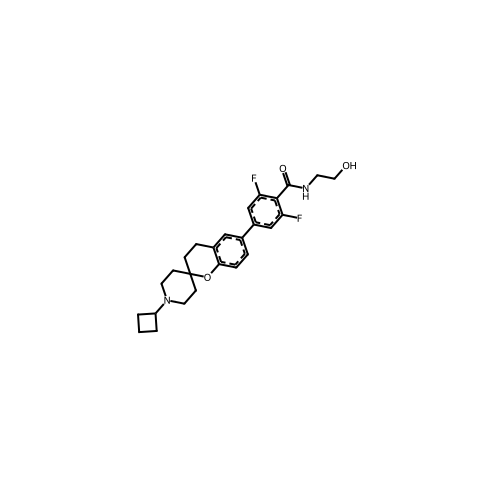 O=C(NCCO)c1c(F)cc(-c2ccc3c(c2)CCC2(CCN(C4CCC4)CC2)O3)cc1F